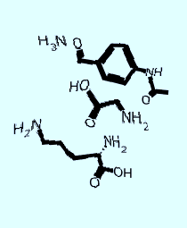 CC(=O)Nc1ccc(C=O)cc1.N.NCC(=O)O.NCCC[C@H](N)C(=O)O